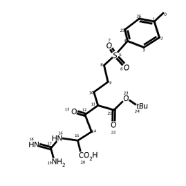 Cc1ccc(S(=O)(=O)CCCC(C(=O)CC(NC(=N)N)C(=O)O)C(=O)OC(C)(C)C)cc1